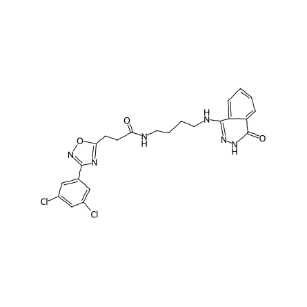 O=C(CCc1nc(-c2cc(Cl)cc(Cl)c2)no1)NCCCCNc1n[nH]c(=O)c2ccccc12